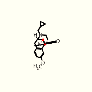 COc1ccc2c(c1)[C@@]13CCN(CC4CC4)[C@@H](C2)[C@H]1CCC(=O)C3